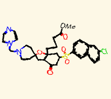 COC(=O)CCCC12CC(S(=O)(=O)c3ccc4cc(Cl)ccc4c3)CC(=O)C1CC1(CCN(CN3C=CN=CC3)CC1)O2